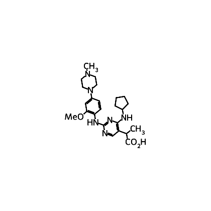 COc1cc(N2CCN(C)CC2)ccc1Nc1ncc(C(C)C(=O)O)c(NC2CCCC2)n1